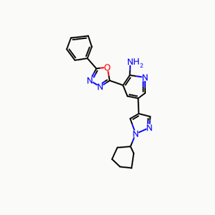 Nc1ncc(-c2cnn(C3CCCCC3)c2)cc1-c1nnc(-c2ccccc2)o1